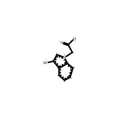 CCC(=O)Cn1cc(C#N)c2ccccc21